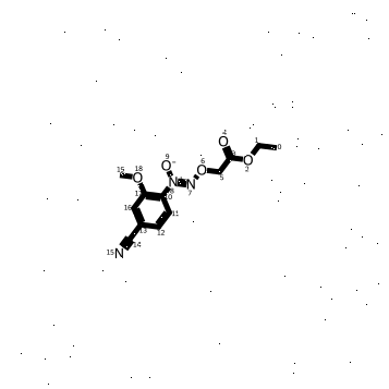 CCOC(=O)CO/N=[N+](\[O-])c1ccc(C#N)cc1OC